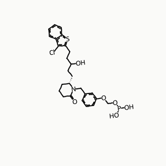 O=C1CCC[C@H](CCC(O)CCc2sc3ccccc3c2Cl)N1Cc1cccc(OCOP(O)O)c1